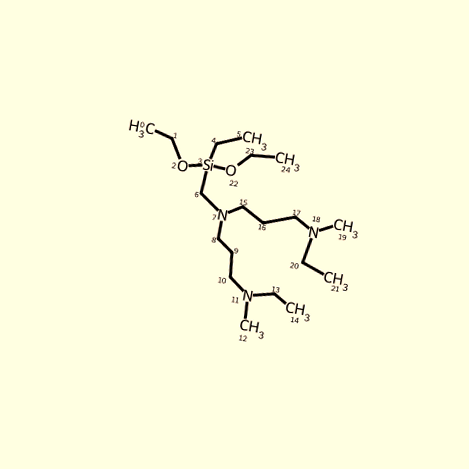 CCO[Si](CC)(CN(CCCN(C)CC)CCCN(C)CC)OCC